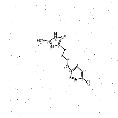 Nc1nc(CCCOc2ccc(Cl)cc2)n[nH]1